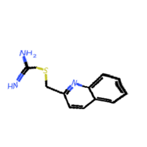 N=C(N)SCc1ccc2ccccc2n1